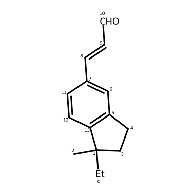 CCC1(C)CCc2cc(C=CC=O)ccc21